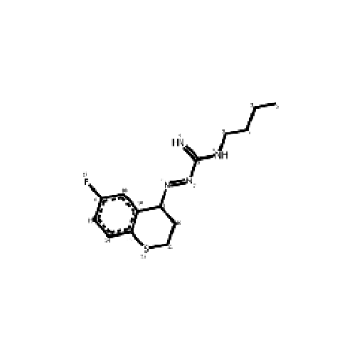 CCCCNC(=N)N=NC1CCSc2ccc(F)cc21